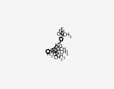 CN(C(=O)C(F)(F)F)c1ccc(CCN(CC(COc2ccccc2)OC(=O)OC(C)(C)C)C(=O)OC(C)(C)C)cc1